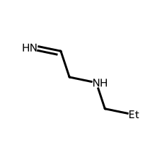 [CH2]CCNCC=N